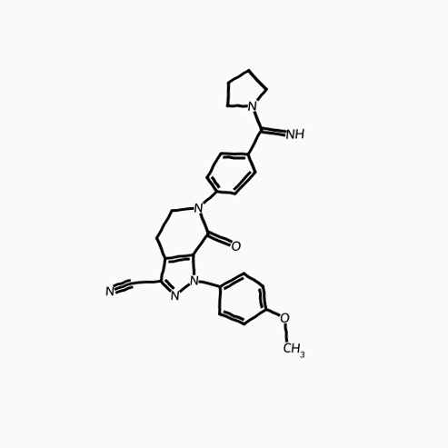 COc1ccc(-n2nc(C#N)c3c2C(=O)N(c2ccc(C(=N)N4CCCC4)cc2)CC3)cc1